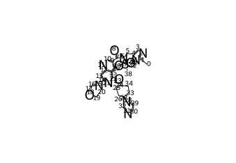 Cc1ncc(CN(C(=O)c2cnc3cc(N4CCOCC4)nc(O[C@H]4CC[C@@H](n5ccnc5)CC4)c3c2)S(C)(=O)=O)n1C